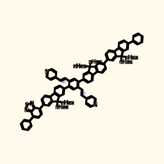 CCCCCCC1(CCCCCC)c2cc(-c3ccccc3)ccc2-c2ccc(-c3ccc4c(c3)C(CCCCCC)(CCCCCC)c3cc(-c5cc(/C=C/c6ccncc6)c(-c6ccc7c(c6)C(CCCCCC)(CCCCCC)c6cc(-c8ccc(-c9ccccc9)c9nsnc89)ccc6-7)cc5/C=C/c5ccncc5)ccc3-4)cc21